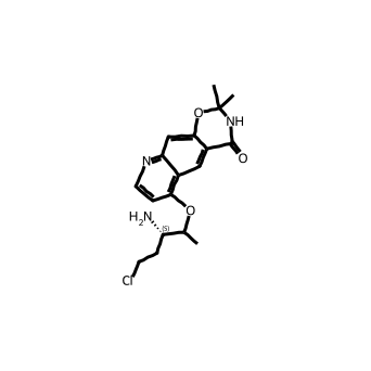 CC(Oc1ccnc2cc3c(cc12)C(=O)NC(C)(C)O3)[C@@H](N)CCCl